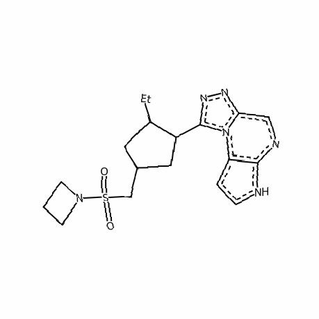 CCC1CC(CS(=O)(=O)N2CCC2)CC1c1nnc2cnc3[nH]ccc3n12